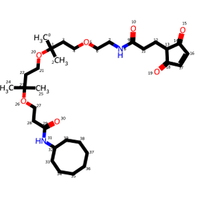 CC(C)(CCOCCNC(=O)CCC1C(=O)C=CC1=O)OCCC(C)(C)OCCC(=O)NC1CCCCCCC1